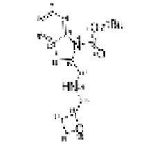 CC(C)(C)OC(=O)N1c2ccccc2CC1CNCC1CCO1